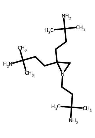 CC(C)(N)CCN1CC1(CCC(C)(C)N)CCC(C)(C)N